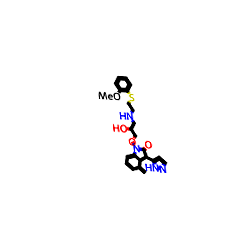 C=C1C=CC=C2C1C(c1ccn[nH]1)C(=O)N2OCC(O)CNCCSc1ccccc1OC